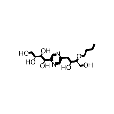 CCCCO[C@@H](CO)[C@@H](O)Cc1cnc([C@@H](O)[C@H](O)[C@H](O)CO)cn1